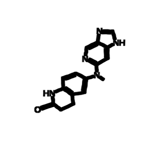 CN(c1ccc2c(c1)CCC(=O)N2)c1cc2[nH]cnc2cn1